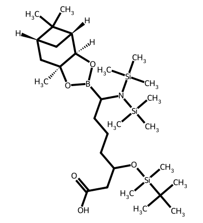 CC1(C)[C@@H]2C[C@H]1[C@H]1OB(C(CCCC(CC(=O)O)O[Si](C)(C)C(C)(C)C)N([Si](C)(C)C)[Si](C)(C)C)O[C@@]1(C)C2